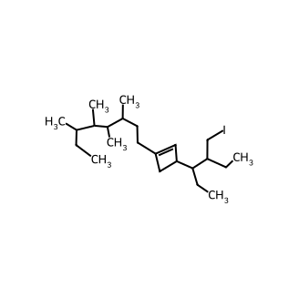 CCC(C)C(C)C(C)C(C)CCC1=CC(C(CC)C(CC)CI)C1